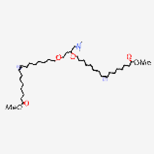 COC(=O)CCCCCC/C=C\CCCCCCCOCCC(CN(C)C)OCCCCCCC/C=C\CCCCCCC(=O)OC